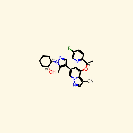 Cc1c(-c2cc(O[C@H](C)c3ccc(F)cn3)c3c(C#N)cnn3c2)cnn1[C@@H]1CCCC[C@H]1O